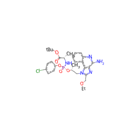 CCOCc1nc2c(N)nc3ccccc3c2n1C[C@@H](C)O[P@@](=O)(N[C@@H](C)C(=O)OC(C)(C)C)Oc1ccc(Cl)cc1